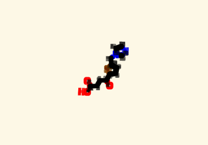 O=C(O)CCC(=O)c1ccc(Cn2ccnc2)s1